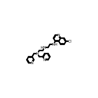 Clc1ccc2c(NCCNCCN(Cc3cccnc3)Cc3ccccn3)ccnc2c1